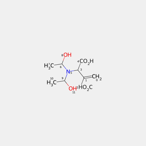 C=C(C(=O)O)C(C(=O)O)N(C(C)O)C(C)O